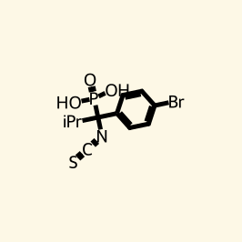 CC(C)C(N=C=S)(c1ccc(Br)cc1)P(=O)(O)O